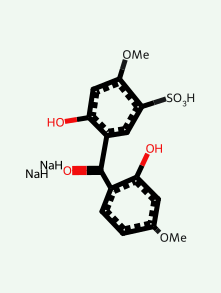 COc1ccc(C(=O)c2cc(S(=O)(=O)O)c(OC)cc2O)c(O)c1.[NaH].[NaH]